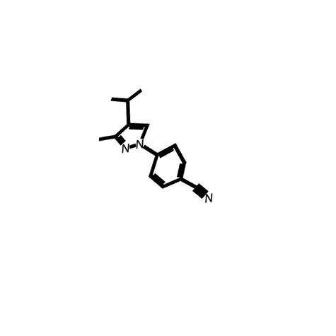 Cc1nn(-c2ccc(C#N)cc2)cc1C(C)C